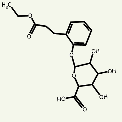 CCOC(=O)CCc1ccccc1OC1OC(C(=O)O)C(O)C(O)C1O